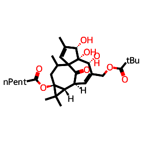 CCCCCC(=O)O[C@@]12CC(C)C34C=C(C)[C@H](O)[C@@]3(O)[C@H](O)C(COC(=O)C(C)(C)C)=C[C@H](C4=O)[C@@H]1C2(C)C